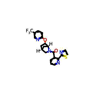 O=C(c1cccnc1-c1nccs1)N1C[C@H]2C[C@@H](Oc3ccc(C(F)(F)F)cn3)[C@@H]1C2